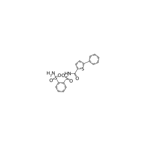 NS(=O)(=O)c1ccccc1S(=O)(=O)NC(=O)c1ccc(-c2ccccc2)s1